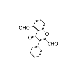 O=Cc1oc2cccc(C=O)c2c(=O)c1-c1ccccc1